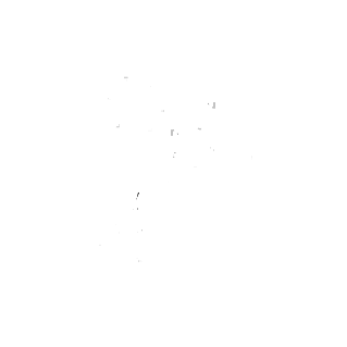 CN1C(=N)NC(CO[C@H]2C3=CCCC32)(CC2CCCCC2)C1=O